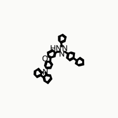 c1ccc(-c2ccc(C3=NC(c4ccccc4)NC(c4ccc5oc6cc(-n7c8ccccc8c8ccccc87)ccc6c5c4)=N3)cc2)cc1